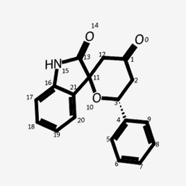 O=C1C[C@H](c2ccccc2)OC2(C1)C(=O)Nc1ccccc12